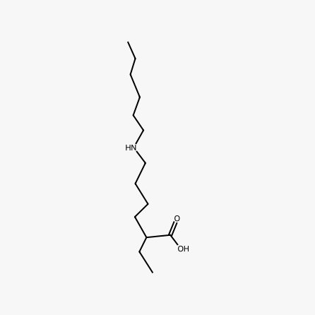 CCCCCCNCCCCC(CC)C(=O)O